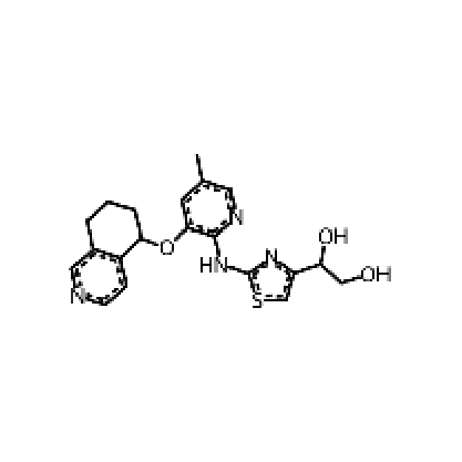 Cc1cnc(Nc2nc(C(O)CO)cs2)c(OC2CCCc3cnccc32)c1